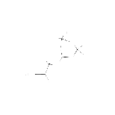 CCCCCCCC(CC)C(=O)OC1CC(C)(C)NC(C)(C)C1